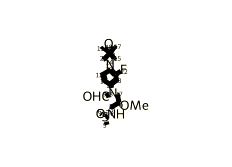 COC(CN[S+](C)[O-])CN(C=O)c1ccc(N2CC3(COC3)C2)c(F)c1